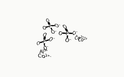 O=P([O-])([O-])[O-].O=P([O-])([O-])[O-].O=P([O-])([O-])[O-].[Al+3].[Co+2].[Co+2].[Co+2]